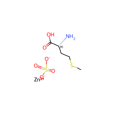 CSCC[C@@H](N)C(=O)O.O=S(=O)([O-])[O-].[Zn+2]